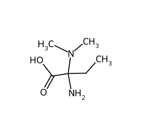 CCC(N)(C(=O)O)N(C)C